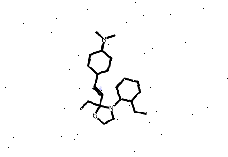 CCC1CCCCC1N1CCOC1(/C=C/C1CCC(N(C)C)CC1)CC